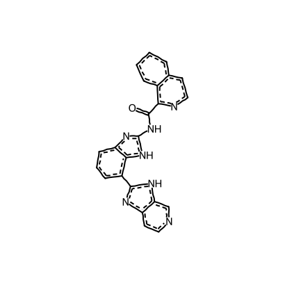 O=C(Nc1nc2cccc(-c3nc4ccncc4[nH]3)c2[nH]1)c1nccc2ccccc12